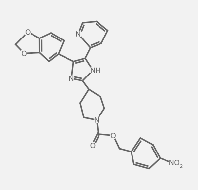 O=C(OCc1ccc([N+](=O)[O-])cc1)N1CCC(c2nc(-c3ccc4c(c3)OCO4)c(-c3ccccn3)[nH]2)CC1